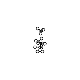 c1ccc(-c2nc(-n3c4ccccc4c4c5ccc(-c6ccc7c(c6)c6ccccc6n7-c6ccccc6)cc5c5c6ccccc6oc5c43)nc3c4ccccc4c4ccccc4c23)cc1